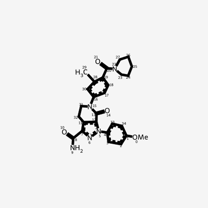 COc1ccc(-n2nc(C(N)=O)c3c2C(=O)N(c2ccc(C(=O)N4CCCCC4)c(C)c2)CC3)cc1